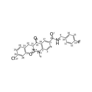 CN1c2ccc(C(=O)NCc3ccc(F)cc3)cc2C(=O)C(Cc2ccc(Cl)cc2)[S+]1[O-]